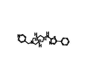 c1ccc(-c2cnc(N[C@H]3C[C@@H]4CN(Cc5ccncc5)C[C@@H]4C3)s2)cc1